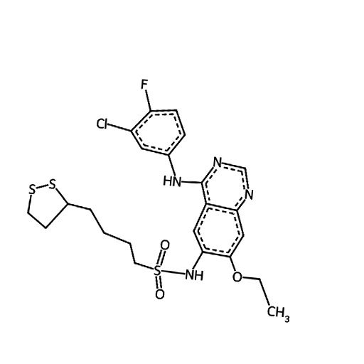 CCOc1cc2ncnc(Nc3ccc(F)c(Cl)c3)c2cc1NS(=O)(=O)CCCCC1CCSS1